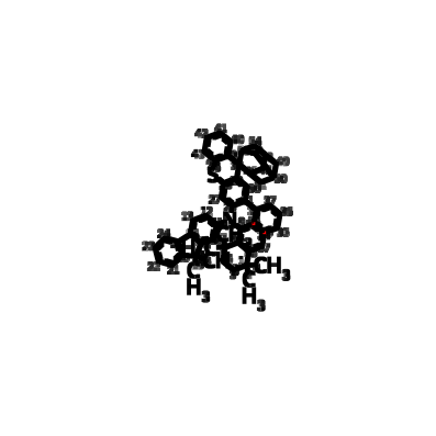 CC1(C)CCC(C)(C)c2c(N(c3ccc4c(c3)C(C)(C)c3ccccc3-4)c3cc4c(cc3-c3ccccc3)C3(c5ccccc5S4)C4CC5CC(C4)CC3C5)cccc21